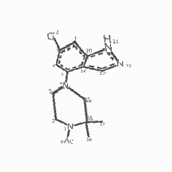 CC(=O)N1CCN(c2cc(Cl)cc3[nH]ncc23)CC1(C)C